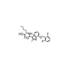 CCCCC(NC(=O)c1c(C)nc2c(OCc3c(F)cccc3F)cccn12)C(=O)O